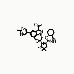 CC(=O)c1nn(CC(=O)N2[C@H](C(=O)N[C@@H](C)C3CCCCC3)CC(C)(C)[C@H]2C)c2c(C)cc(-c3cnc(C)nc3)cc12